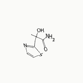 CC(O)(C(N)=O)c1nccs1